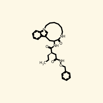 CCC[C@H](CC(=O)NOCc1ccccc1)C(=O)NC1Cc2cn(c3ccccc23)CCCCCCNC1=O